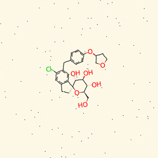 OC[C@H]1O[C@]2(CCc3cc(Cl)c(Cc4ccc(O[C@H]5CCOC5)cc4)cc32)[C@H](O)[C@@H](O)[C@@H]1O